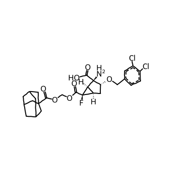 N[C@]1(C(=O)O)[C@H]2[C@@H](C[C@H]1OCc1ccc(Cl)c(Cl)c1)[C@]2(F)C(=O)OCOC(=O)C12CC3CC(CC(C3)C1)C2